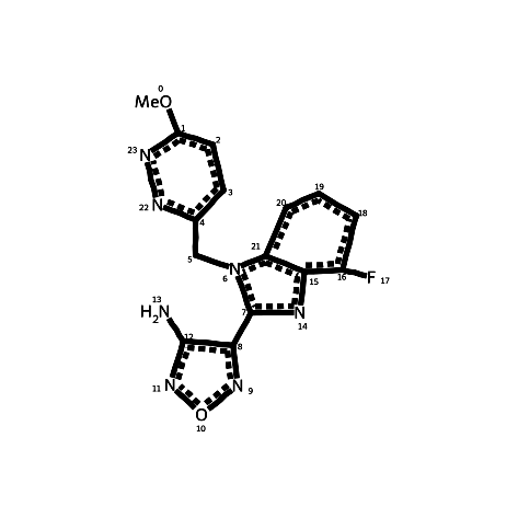 COc1ccc(Cn2c(-c3nonc3N)nc3c(F)cccc32)nn1